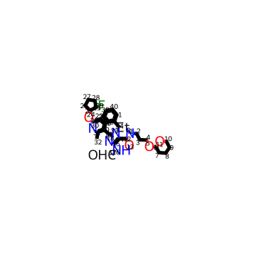 CCN(CCCOC1CCCCO1)C(=O)c1c(NC=O)nc(-c2ccc(OC3CCCC3)nc2C)n1Cc1ccc(F)cc1